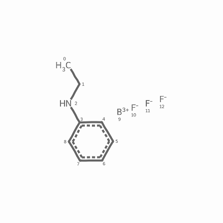 CCNc1ccccc1.[B+3].[F-].[F-].[F-]